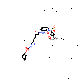 CCOc1cc([C@@H](CS(C)(=O)=O)N2C(=O)c3cccc(NC(=O)CCCCCCNC(=O)OCc4ccccc4)c3C2=O)ccc1OC